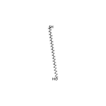 OCCCCCCCCCCCCCCCCCCCCCCCCCCCCCCCCCCS